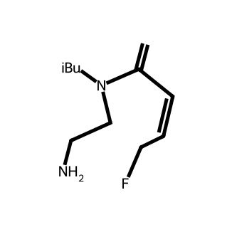 C=C(/C=C\CF)N(CCN)C(C)CC